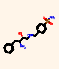 N[C@@H](Cc1ccccc1)[C@H](O)CNCc1ccc(S(N)(=O)=O)cc1